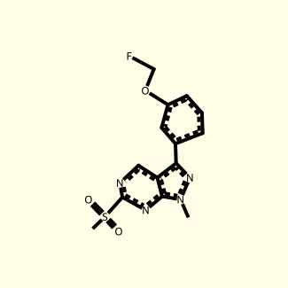 Cn1nc(-c2cccc(OCF)c2)c2cnc(S(C)(=O)=O)nc21